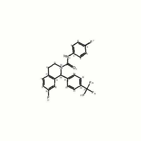 O=C(Nc1ccc(F)cc1)N1CCc2ccc(F)cc2C1c1ccc(C(F)(F)F)cc1